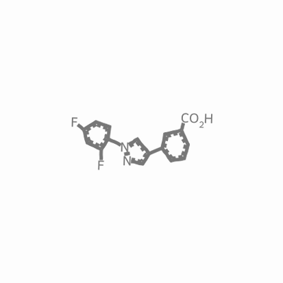 O=C(O)c1cccc(-c2cnn(-c3ccc(F)cc3F)c2)c1